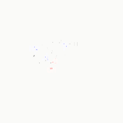 CN1CCC(C2CNCCN2C(=O)O)CC1